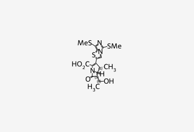 CSc1nc(SC)n2cc(C3=C(C(=O)O)N4C(=O)[C@H]([C@@H](C)O)[C@H]4[C@H]3C)sc12